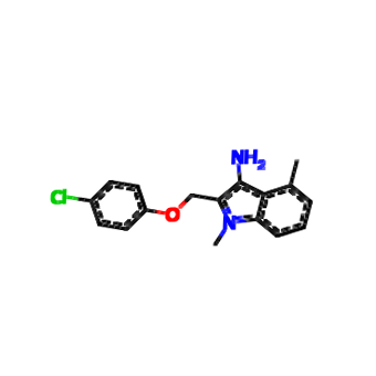 Cc1cccc2c1c(N)c(COc1ccc(Cl)cc1)n2C